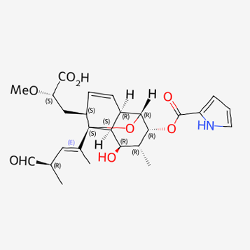 CO[C@@H](C[C@H]1C=C[C@H]2[C@H]3O[C@]1(/C(C)=C/[C@@H](C)C=O)[C@@H]2[C@H](O)[C@@H](C)[C@H]3OC(=O)c1ccc[nH]1)C(=O)O